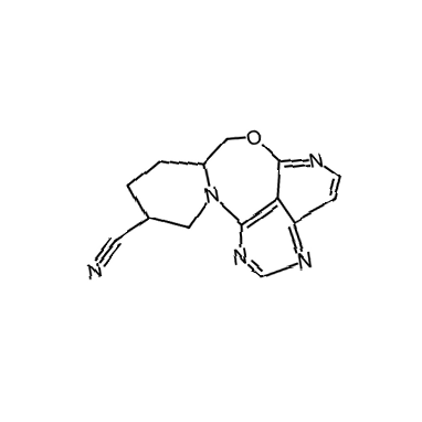 N#CC1CCC2COc3nccc4ncnc(c34)N2C1